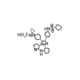 O=C(O)NC1(c2ccc(-c3c(-c4ccc(NS(=O)(=O)c5ccccc5)cc4)nc4n3-c3cccnc3Nc3ccccc3-4)cc2)CCC1